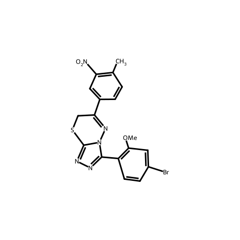 COc1cc(Br)ccc1-c1nnc2n1N=C(c1ccc(C)c([N+](=O)[O-])c1)CS2